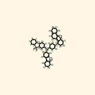 CC1(C)c2ccccc2-c2ccc(N(c3ccc(-c4cccc5oc6c7ccccc7ccc6c45)cc3)c3ccc4c(c3)oc3ccccc34)cc21